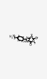 Cn1c(=O)c2[nH]c(-c3ccc(CN)cc3)nc2n(C)c1=O